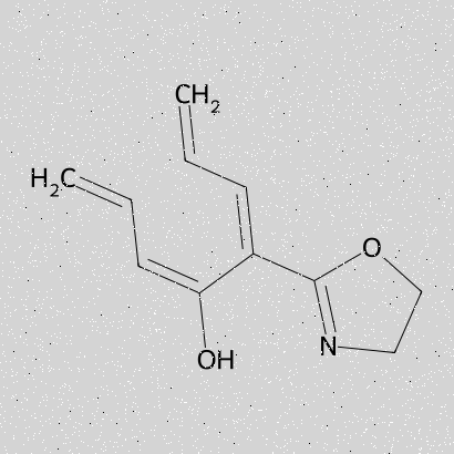 C=C/C=C(O)\C(=C/C=C)C1=NCCO1